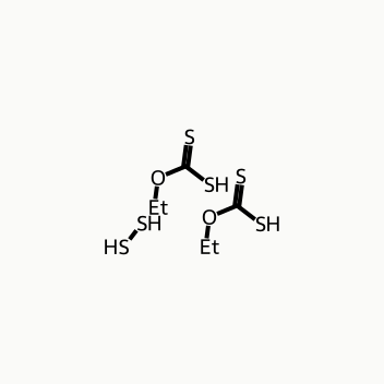 CCOC(=S)S.CCOC(=S)S.SS